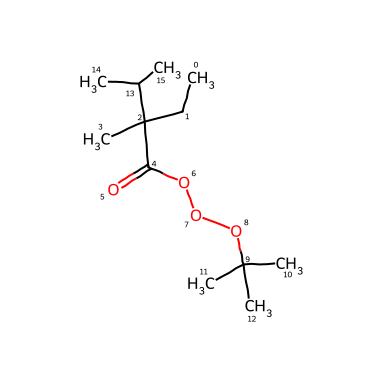 CCC(C)(C(=O)OOOC(C)(C)C)C(C)C